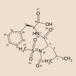 CC(C)C[C@@H](C(=O)N[C@@H](Cc1ccccc1)C(=O)O)N(C=O)S(C)(=O)=O